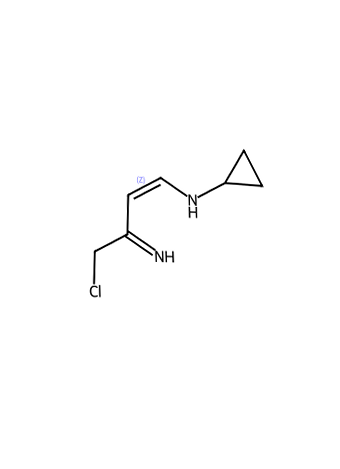 N=C(/C=C\NC1CC1)CCl